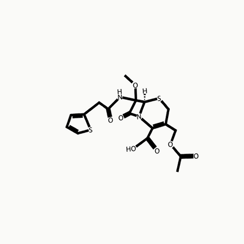 COC1(NC(=O)Cc2cccs2)C(=O)N2C(C(=O)O)=C(COC(C)=O)CS[C@@H]21